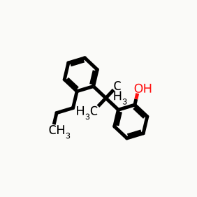 CCCc1ccccc1C(C)(C)c1ccccc1O